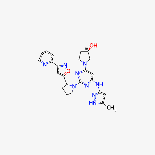 Cc1cc(Nc2cc(N3CC[C@@H](O)C3)nc(N3CCCC3c3cc(-c4ccccn4)no3)n2)n[nH]1